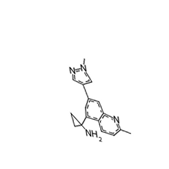 Cc1ccc2c(C3(N)CC3)cc(-c3cnn(C)c3)cc2n1